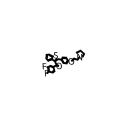 O=C(c1ccc(F)c(F)c1)c1c(-c2ccc(OCCN3CCCC3)cc2)sc2ccccc12